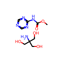 COC(=O)Nc1ncncn1.NC(CO)(CO)CO